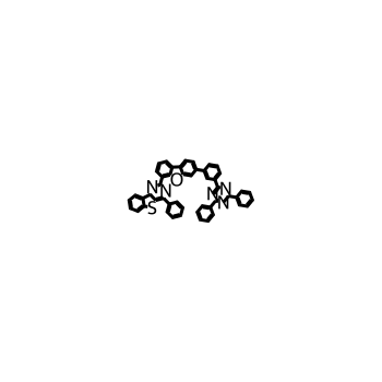 c1ccc(-c2nc(-c3ccccc3)nc(-c3cccc(-c4ccc5c(c4)oc4c(-c6nc(-c7ccccc7)c7sc8ccccc8c7n6)cccc45)c3)n2)cc1